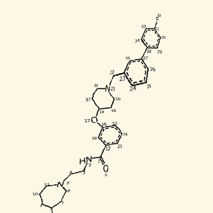 O=C(NCCN1CCCCCC1)c1cccc(OC2CCN(Cc3cccc(-c4ccc(F)cc4)c3)CC2)c1